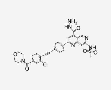 CS(=O)(=O)Nc1cc2nc(-c3ccc(C#Cc4ccc(C(=O)N5CCOCC5)cc4Cl)cc3)cc(C(=O)NN)c2cn1